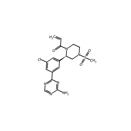 C=CC(=O)N1CCN(S(C)(=O)=O)C[C@H]1c1cc(Cl)cc(-c2ncnc(N)n2)c1